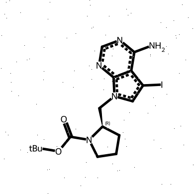 CC(C)(C)OC(=O)N1CCC[C@@H]1Cn1cc(I)c2c(N)ncnc21